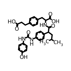 CC(C)CC(C(=O)NC(Cc1ccc(CCC(=O)O)cc1)C(=O)O)c1ccc(NC(=O)Nc2ccc(O)cc2)cc1